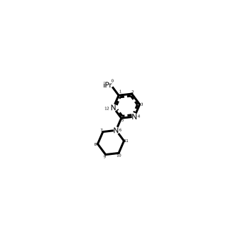 CC(C)c1ccnc(N2CCCCC2)n1